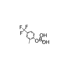 Cc1cc(C(F)(F)F)ccc1OB(O)O